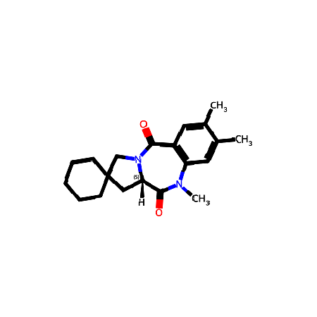 Cc1cc2c(cc1C)N(C)C(=O)[C@@H]1CC3(CCCCC3)CN1C2=O